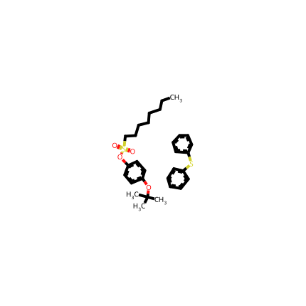 CCCCCCCCS(=O)(=O)Oc1ccc(OC(C)(C)C)cc1.c1ccc(Sc2ccccc2)cc1